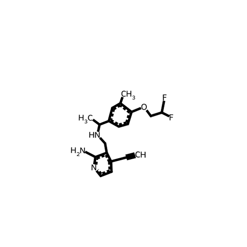 C#Cc1ccnc(N)c1CNC(C)c1ccc(OCC(F)F)c(C)c1